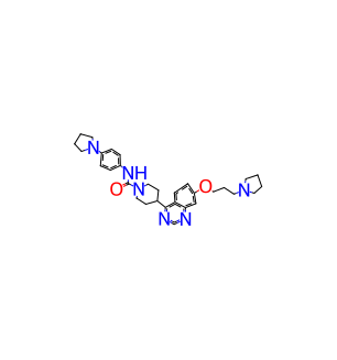 O=C(Nc1ccc(N2CCCC2)cc1)N1CCC(c2ncnc3cc(OCCCN4CCCC4)ccc23)CC1